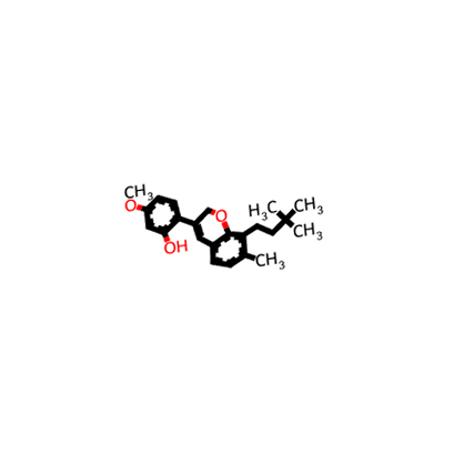 COc1ccc(C2=Cc3ccc(C)c(CCC(C)(C)C)c3OC2)c(O)c1